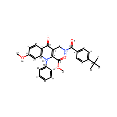 COC(=O)c1c(CNC(=O)c2ccc(C(C)(C)C)cc2)c(=O)c2ccc(OC)cc2n1-c1ccccc1